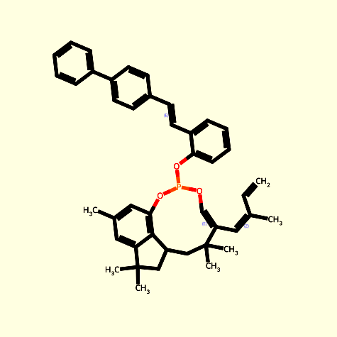 C=C/C(C)=C\C1=C/OP(Oc2ccccc2/C=C/c2ccc(-c3ccccc3)cc2)Oc2cc(C)cc3c2C(CC1(C)C)CC3(C)C